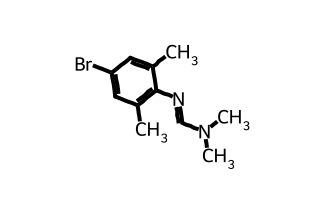 Cc1cc(Br)cc(C)c1N=CN(C)C